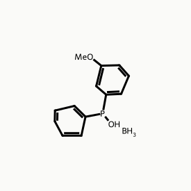 B.COc1cccc(P(O)c2ccccc2)c1